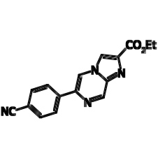 CCOC(=O)c1cn2cc(-c3ccc(C#N)cc3)ncc2n1